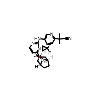 CC(C)(C#N)c1ccc(Nc2nccc(N3C[C@H]4CC[C@@H](C3)N4C(=O)[C@@H]3CC3(F)F)n2)cn1